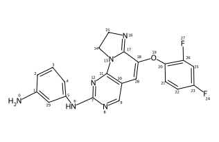 Nc1cccc(Nc2ncc3c(n2)N2CCN=C2C(Oc2ccc(F)cc2F)=C3)c1